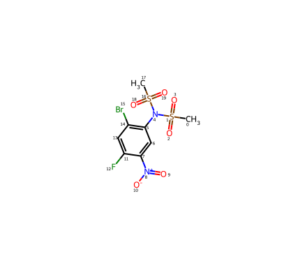 CS(=O)(=O)N(c1cc([N+](=O)[O-])c(F)cc1Br)S(C)(=O)=O